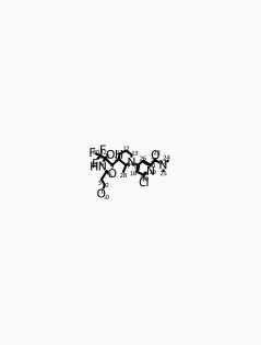 COCCC(=O)N[C@@](O)(CC1CCCN(c2cc(Cl)nc(C(=O)N(C)C)c2)C1C)C(F)(F)F